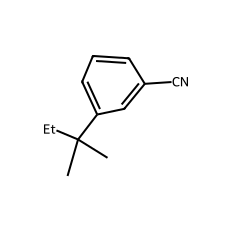 CCC(C)(C)c1cccc(C#N)c1